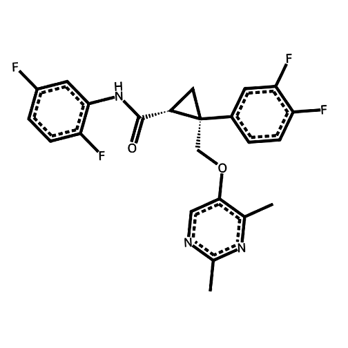 Cc1ncc(OC[C@@]2(c3ccc(F)c(F)c3)C[C@H]2C(=O)Nc2cc(F)ccc2F)c(C)n1